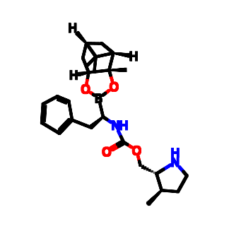 C[C@@H]1CCN[C@H]1COC(=O)N[C@@H](Cc1ccccc1)B1O[C@@H]2C[C@@H]3C[C@@H](C3(C)C)[C@]2(C)O1